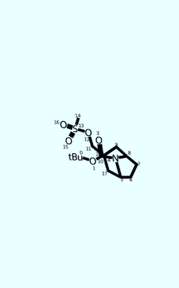 CC(C)(C)OC(=O)N1C2CCC1CC(COS(C)(=O)=O)C2